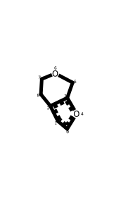 c1cc2c(o1)COCC2